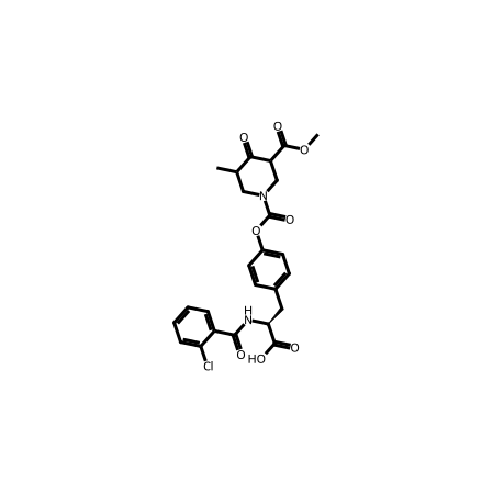 COC(=O)C1CN(C(=O)Oc2ccc(C[C@H](NC(=O)c3ccccc3Cl)C(=O)O)cc2)CC(C)C1=O